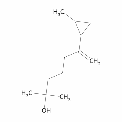 C=C(CCCC(C)(C)O)C1CC1C